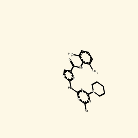 CCc1nc(Nc2ncc(C(=O)Nc3c(C)cccc3C)o2)nc(N2CCCCC2)n1